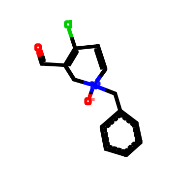 O=CC1=C(Cl)C=C[N+]([O-])(Cc2ccccc2)C1